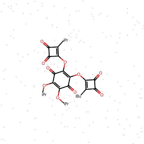 CCC(C)c1c(OC2=C(Oc3c(C(C)C)c(=O)c3=O)C(=O)C(OC(C)C)=C(OC(C)C)C2=O)c(=O)c1=O